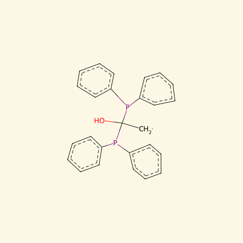 [CH2]C(O)(P(c1ccccc1)c1ccccc1)P(c1ccccc1)c1ccccc1